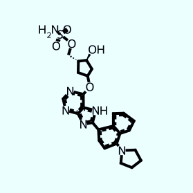 NS(=O)(=O)OC[C@H]1CC(Oc2ncnc3nc(-c4ccc(N5CCCC5)c5ccccc45)[nH]c23)C[C@@H]1O